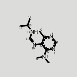 Cc1ncnc(N(C)C)c1/N=C\NC(C)C